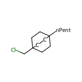 CCCCCC12CCC(CCl)(CC1)CC2